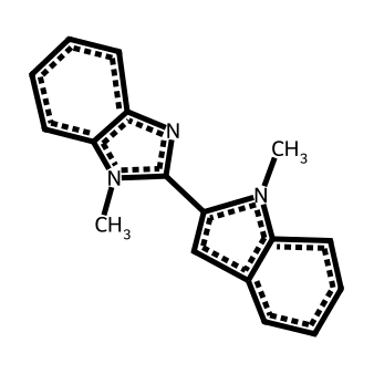 Cn1c(-c2nc3ccccc3n2C)cc2ccccc21